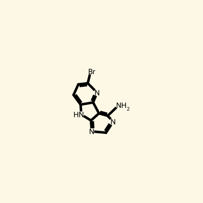 Nc1ncnc2[nH]c3ccc(Br)nc3c12